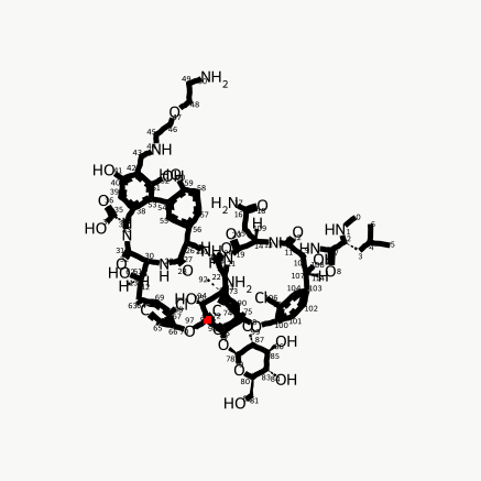 CN[C@H](CC(C)C)C(=O)NC1C(=O)N[C@@H](CC(N)=O)C(=O)N[C@H]2C(=O)N[C@H]3C(=O)N[C@H](C(=O)N[C@H](C(=O)O)c4cc(O)c(CNCCOCCN)c(O)c4-c4cc3ccc4O)[C@H](O)c3ccc(c(Cl)c3)Oc3cc2cc(c3O[C@@H]2O[C@H](CO)[C@@H](O)[C@H](O)[C@H]2O[C@H]2C[C@](C)(N)[C@H](O)[C@H](C)O2)Oc2ccc(cc2Cl)[C@H]1O